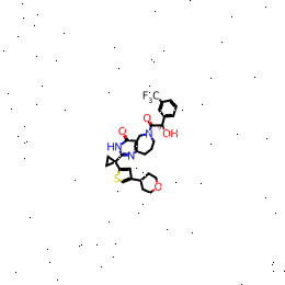 O=C([C@H](O)c1cccc(C(F)(F)F)c1)N1CCCc2nc(C3(c4cc(C5CCOCC5)cs4)CC3)[nH]c(=O)c2C1